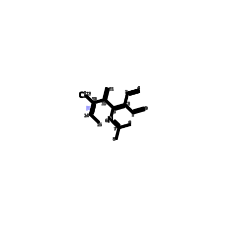 C=CC(C=C)=C(N=C(C)C)C(=C)/C(Cl)=C\C